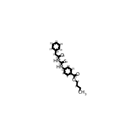 CCCCOC(=O)c1ccc(NC(=S)NC(=O)Cc2ccccc2)cc1